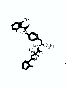 CC1(C(=O)N[C@@H](Cc2ccc(NC(=O)c3c(Cl)cccc3Cl)cc2)C(=O)O)CC(c2ccccc2F)=NO1